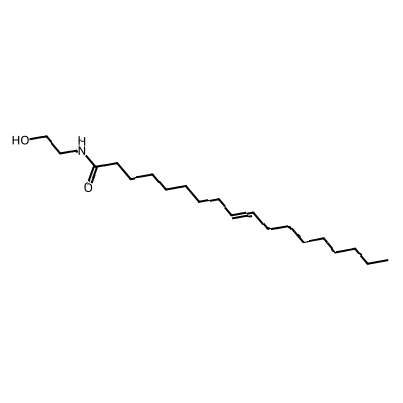 CCCCCCCCC=CCCCCCCCC(=O)NCCO